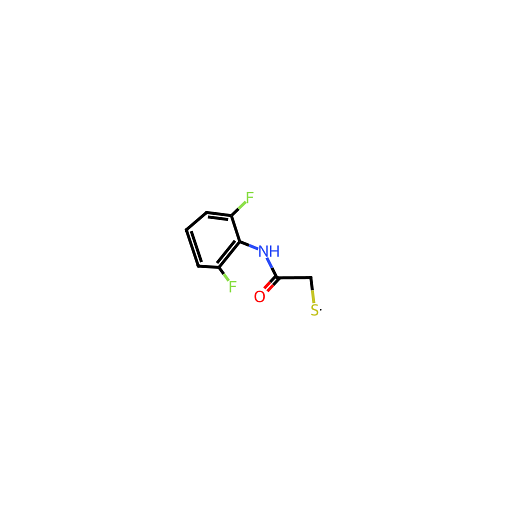 O=C(C[S])Nc1c(F)cccc1F